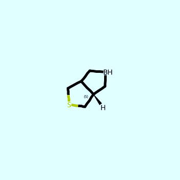 B1CC2CSC[C@H]2C1